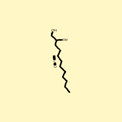 C=C=O.CCCCCCCCCCC(O)CO